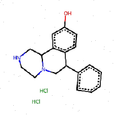 Cl.Cl.Oc1ccc2c(c1)C1CNCCN1CC2c1ccccc1